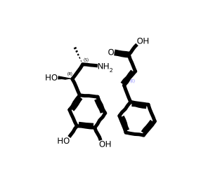 C[C@H](N)[C@H](O)c1ccc(O)c(O)c1.O=C(O)/C=C/c1ccccc1